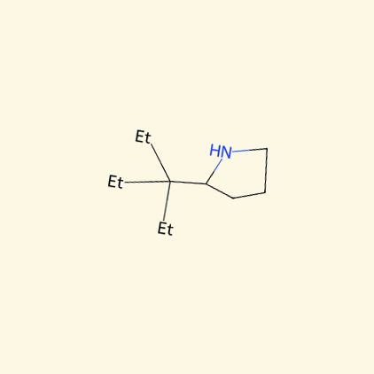 CCC(CC)(CC)C1CCCN1